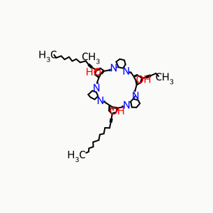 CCC#Cc1cc2c(O)c(c1)/C=N/C1CCCCC1/N=C/c1cc(C#CC(C)CCCCCCCC)cc(c1O)/C=N/C1CCCCC1/N=C/c1cc(C#CCCCCCCCCCC)cc(c1O)/C=N/C1CCCCC1/N=C/2